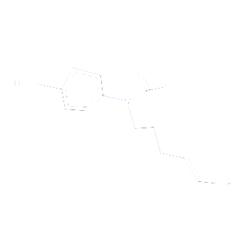 CCCCCCCCCCC=CCCCN(C(=O)C(F)(F)F)c1ccc(C(=O)O)cc1